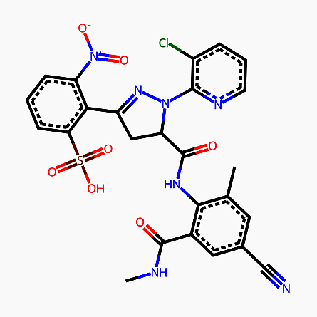 CNC(=O)c1cc(C#N)cc(C)c1NC(=O)C1CC(c2c([N+](=O)[O-])cccc2S(=O)(=O)O)=NN1c1ncccc1Cl